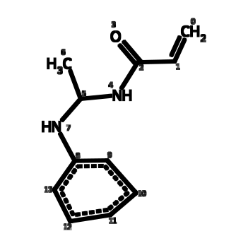 C=CC(=O)NC(C)Nc1ccccc1